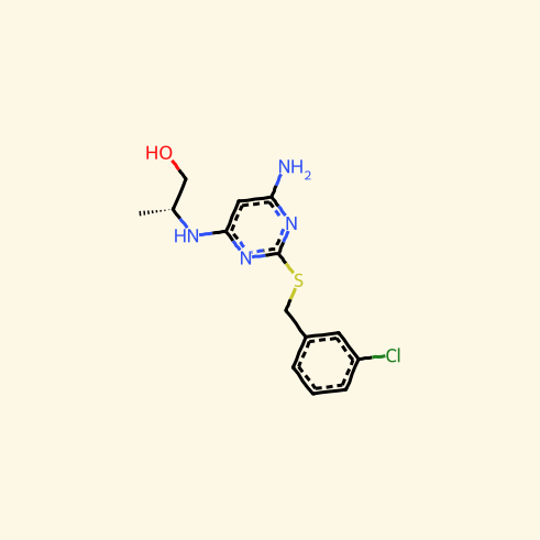 C[C@H](CO)Nc1cc(N)nc(SCc2cccc(Cl)c2)n1